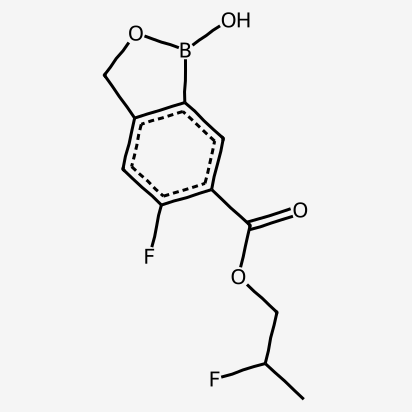 CC(F)COC(=O)c1cc2c(cc1F)COB2O